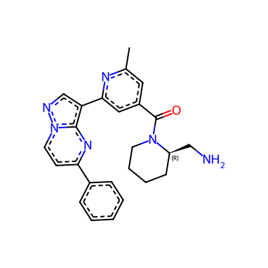 Cc1cc(C(=O)N2CCCC[C@@H]2CN)cc(-c2cnn3ccc(-c4ccccc4)nc23)n1